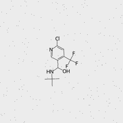 CC(C)(C)NC(O)c1cnc(Cl)cc1C(F)(F)F